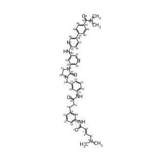 CN(C)C/C=C/C(=O)Nc1cccc(CCC(=O)Nc2cccc(CN3CCN(c4cncc(Nc5ccc(-c6ccc(C(=O)N(C)C)cc6)cn5)c4)C3=O)c2)c1